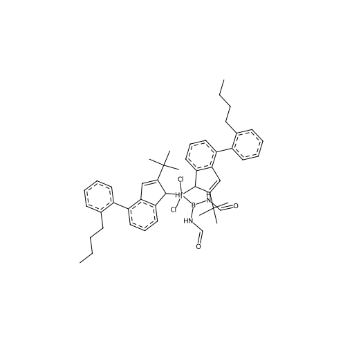 CCCCc1ccccc1-c1cccc2c1C=C(C(C)(C)C)[CH]2[Hf]([Cl])([Cl])([B](NC=O)NC=O)[CH]1C(C(C)(C)C)=Cc2c(-c3ccccc3CCCC)cccc21